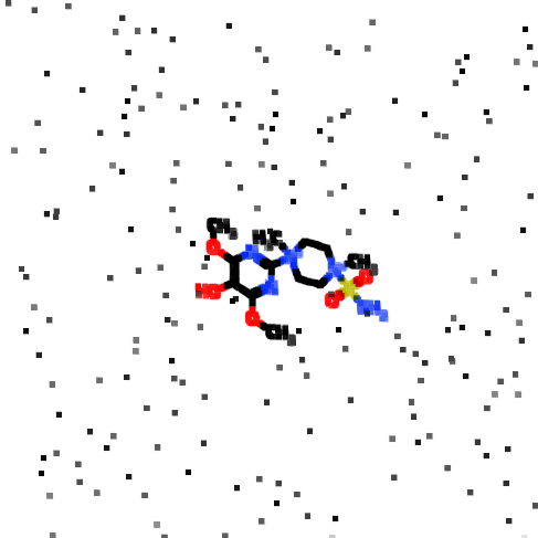 COc1nc([N+]2(C)CC[N+](C)(S(N)(=O)=O)CC2)nc(OC)c1O